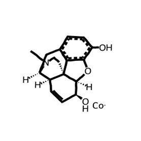 CN1CC[C@]23c4c5ccc(O)c4O[C@H]2[C@@H](O)C=C[C@H]3[C@H]1C5.[Co]